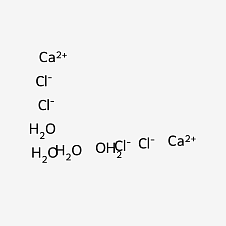 O.O.O.O.[Ca+2].[Ca+2].[Cl-].[Cl-].[Cl-].[Cl-]